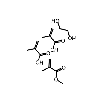 C=C(C)C(=O)O.C=C(C)C(=O)O.C=C(C)C(=O)OC.OCCO